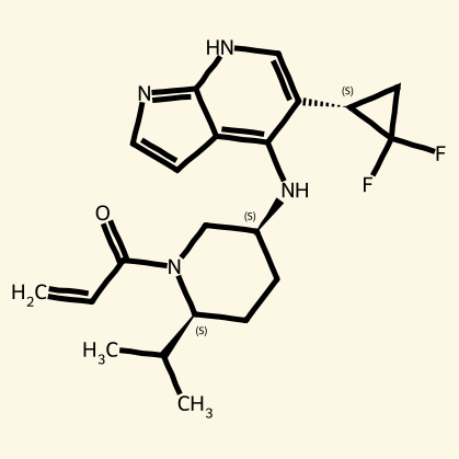 C=CC(=O)N1C[C@@H](Nc2c3ccnc-3[nH]cc2[C@@H]2CC2(F)F)CC[C@H]1C(C)C